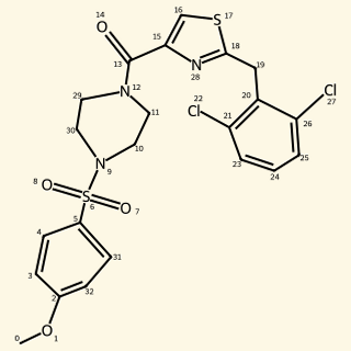 COc1ccc(S(=O)(=O)N2CCN(C(=O)c3csc(Cc4c(Cl)cccc4Cl)n3)CC2)cc1